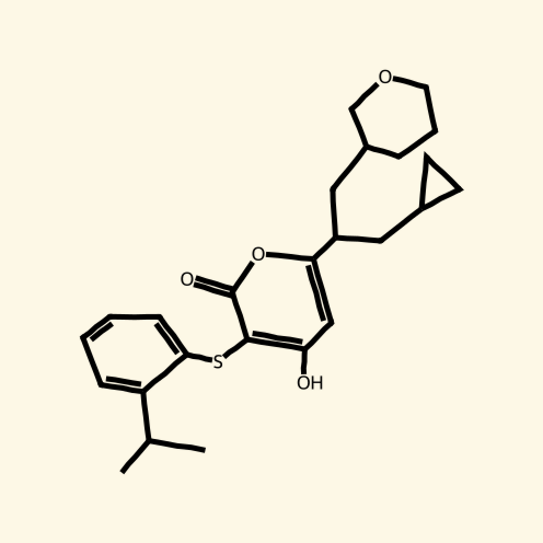 CC(C)c1ccccc1Sc1c(O)cc(C(CC2CC2)CC2CCCOC2)oc1=O